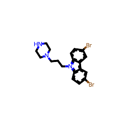 Brc1ccc2c(c1)c1cc(Br)ccc1n2CCCN1CCNCC1